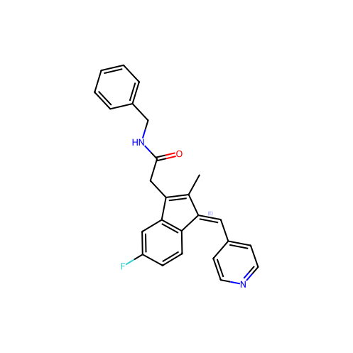 CC1=C(CC(=O)NCc2ccccc2)c2cc(F)ccc2/C1=C\c1ccncc1